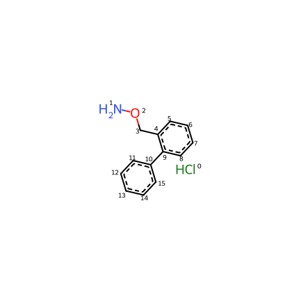 Cl.NOCc1ccccc1-c1ccccc1